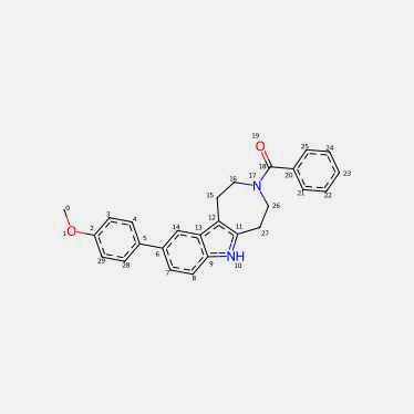 COc1ccc(-c2ccc3[nH]c4c(c3c2)CCN(C(=O)c2ccccc2)CC4)cc1